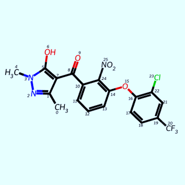 Cc1nn(C)c(O)c1C(=O)c1cccc(Oc2ccc(C(F)(F)F)cc2Cl)c1[N+](=O)[O-]